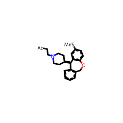 CSc1ccc2c(c1)C(=C1CCN(CCC(C)=O)CC1)c1ccccc1CO2